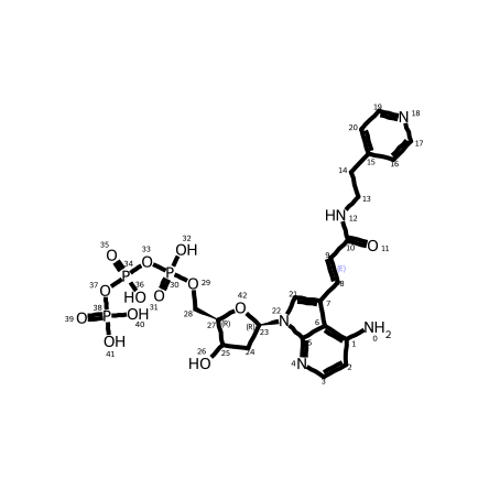 Nc1ccnc2c1c(/C=C/C(=O)NCCc1ccncc1)cn2[C@H]1CC(O)[C@@H](COP(=O)(O)OP(=O)(O)OP(=O)(O)O)O1